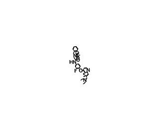 CCN(CC)Cc1cc2nccc(Oc3ccc(NC(=O)CN(Cc4ccccc4)S(C)(=O)=O)cc3F)c2s1